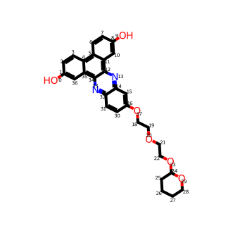 Oc1ccc2c3ccc(O)cc3c3nc4cc(OCCOCCOC5CCCCO5)ccc4nc3c2c1